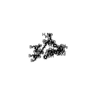 CC[C@H](C)C([C@@H](CC(=O)N1CCC[C@H]1[C@H](OC)[C@@H](C)C(=O)N[C@H](C)[C@@H](O)c1ccccc1)OC)N(C)C(=O)[C@@H](NC(=O)[C@H](C(C)C)N(C)C(=O)OCc1ccc(NC(=O)[C@H](CCCNC(N)=O)NC(=O)[C@@H](NC(=O)CCCCCNC(=O)C(CNC(=O)c2cc(CBr)nc(CBr)c2)CNC(=O)c2cc(CBr)nc(CBr)c2)C(C)C)cc1)C(C)C